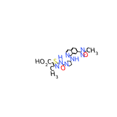 Cc1nc(-c2ccc3ccnc(N[C@@H]4CCN(C(=O)Nc5nc(C)c(C(=O)O)s5)C4)c3c2)no1